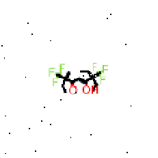 CCC(C)(C(=O)/C=C(\O)C(CC)(CC)C(F)(F)F)C(F)(F)F